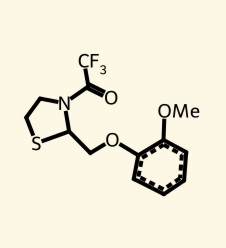 COc1ccccc1OCC1SCCN1C(=O)C(F)(F)F